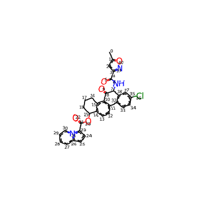 Cc1cc(C(=O)NC2C(=O)c3c(ccc4c3CCCC4OC(=O)c3ccc4ccccn34)-c3ccc(Cl)cc32)no1